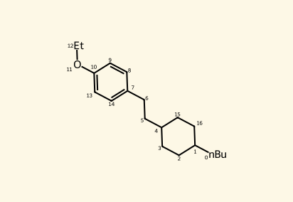 CCCCC1CCC(CCc2ccc(OCC)cc2)CC1